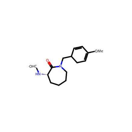 COC1=CCC(CN2CCCC[C@H](N[C]=O)C2=O)C=C1